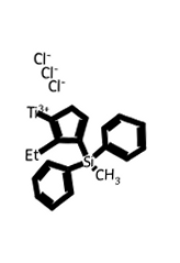 CCC1=[C]([Ti+3])CC=C1[Si](C)(c1ccccc1)c1ccccc1.[Cl-].[Cl-].[Cl-]